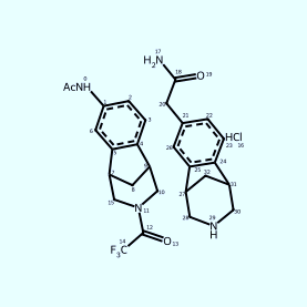 CC(=O)Nc1ccc2c(c1)C1CC2CN(C(=O)C(F)(F)F)C1.Cl.NC(=O)Cc1ccc2c(c1)C1CNCC2C1